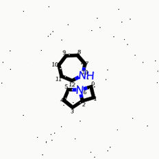 [CH]1CC2CCCN12.[CH]1CCCCCN1